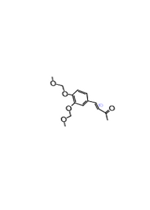 COCOc1ccc(/C=C/C(C)=O)cc1OCOC